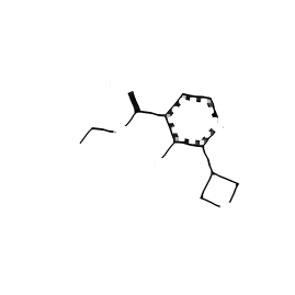 C=C(OCC)c1ccnc(C2COC2)c1F